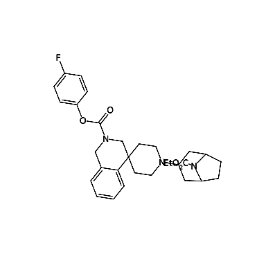 CCOC(=O)N1C2CCC1CC(N1CCC3(CC1)CN(C(=O)Oc1ccc(F)cc1)Cc1ccccc13)C2